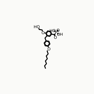 CCCCCCCCOc1ccc(Cc2cc(C(=O)P(=O)(O)O)ccc2OCCO)cc1